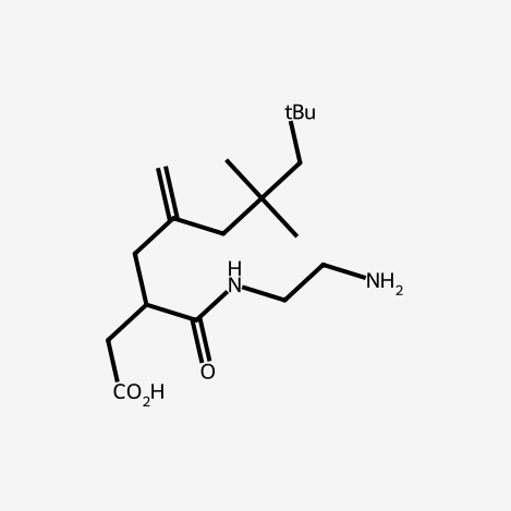 C=C(CC(CC(=O)O)C(=O)NCCN)CC(C)(C)CC(C)(C)C